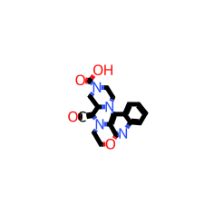 O=C=C1C2CN(C(=O)O)CCN2c2c3c(nc4ccccc24)OCCN13